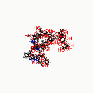 CC1C(O)[C@H](O[C@@H]2OC(C)[C@H](O)C(O)[C@@H]2O)[C@H](CO)O[C@H]1OC[C@@H](OCC[C@@H](O)C(O[C@H]1O[C@H](CO)[C@@H](O)C(O)C1O[C@@H]1OC(CO)[C@@H](O[C@@H]2OC(CO[C@]3(C(=O)OCc4ccccc4)C[C@@H](O)[C@@H](N)C([C@H](O)[C@H](O)CO)O3)[C@H](O)C(O)[C@@H]2O)C(O)[C@@H]1C)[C@@H](O)[C@@H](O)O[C@@H]1C(CO)O[C@@H](O[C@@H]2C(CO)O[C@@H](NC(=O)CC(NC(=O)OCC3c4ccccc4-c4ccccc43)C(=O)O)[C@@H](C)C2O)[C@@H](C)C1O)OC(CO)[C@@H](O)[C@@H](C)O